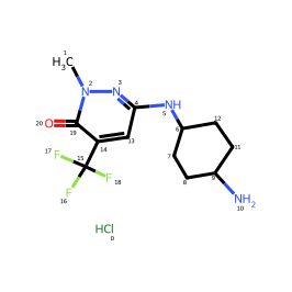 Cl.Cn1nc(NC2CCC(N)CC2)cc(C(F)(F)F)c1=O